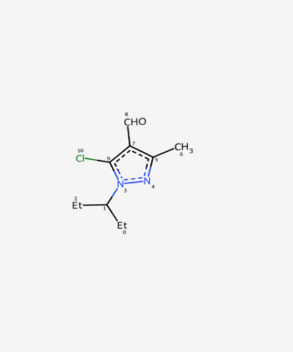 CCC(CC)n1nc(C)c(C=O)c1Cl